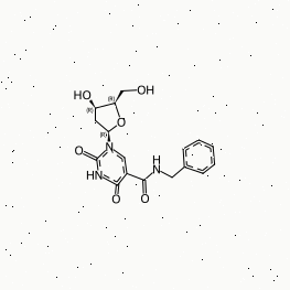 O=C(NCc1ccccc1)c1cn([C@H]2C[C@@H](O)[C@@H](CO)O2)c(=O)[nH]c1=O